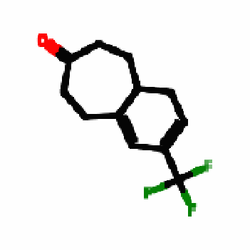 O=C1CCC2=CC(C(F)(F)F)=CCC2CC1